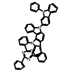 c1ccc(-c2nc(-c3ccccc3)nc(-c3ccccc3-n3c4ccccc4c4ccc5c(c6ccccc6n5-c5ccc6c7ccccc7n(-c7ccccc7)c6c5)c43)n2)cc1